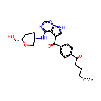 COCCCC(=O)c1ccc(C(=O)c2c[nH]c3ncnc(N[C@@H]4CC[C@@H](CO)OC4)c23)cc1